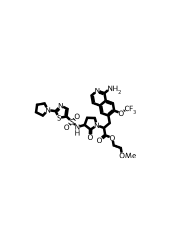 COCCOC(=O)C(Cc1cc2ccnc(N)c2cc1OC(F)(F)F)N1CCC(NS(=O)(=O)c2cnc(N3CCCC3)s2)C1=O